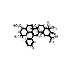 CC1(C)CC2C3=C(c4cccc(F)c4)CC4C5(C)Cc6c(n[nH]c6N)C(C)(C)C5CCC4(C)C3(C)CCC2[C@H](C(=O)O)C1